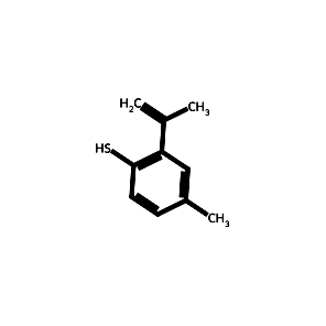 C=C(C)c1cc(C)ccc1S